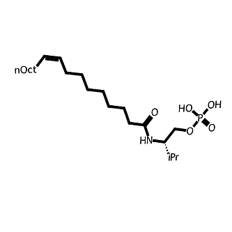 CCCCCCCC/C=C\CCCCCCCC(=O)N[C@H](COP(=O)(O)O)C(C)C